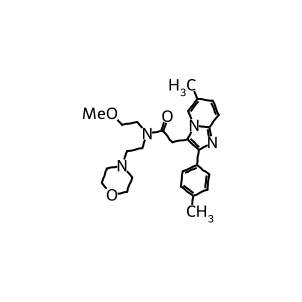 COCCN(CCN1CCOCC1)C(=O)Cc1c(-c2ccc(C)cc2)nc2ccc(C)cn12